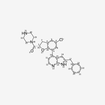 O=C([C@@H]1Cc2cc(Cl)cc(-c3ccnc4[nH]c(Cc5ccccc5)cc34)c2O1)N1CCNCC1